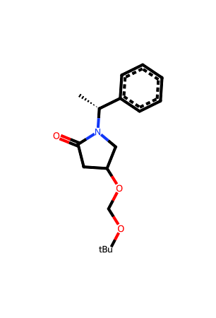 C[C@H](c1ccccc1)N1CC(OCOC(C)(C)C)CC1=O